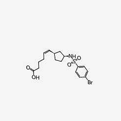 O=C(O)CCC/C=C\[C@@H]1CC[C@H](NS(=O)(=O)c2ccc(Br)cc2)C1